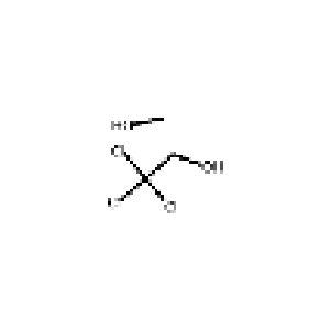 CO.OCC(Cl)(Cl)Cl